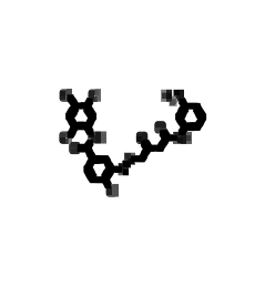 Nc1cccc(NC(=O)CC(=O)CN=Nc2cc(C(=O)Nc3cc(Cl)c(Cl)cc3Cl)ccc2Cl)c1